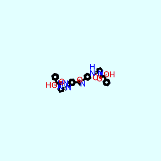 O=C(Nc1ccc(-c2ncc(-c3ccc4[nH]c([C@@H]5CCCN5C(=O)[C@H](O)c5ccccc5)nc4c3)o2)cc1)[C@@H]1CCCN1C(=O)[C@H](O)c1ccccc1